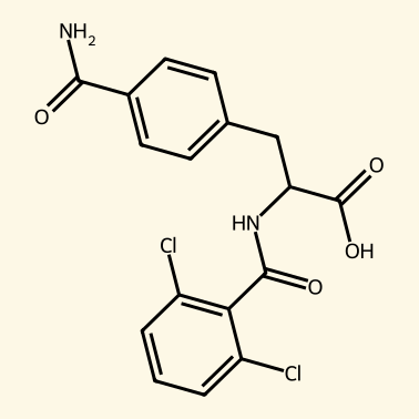 NC(=O)c1ccc(CC(NC(=O)c2c(Cl)cccc2Cl)C(=O)O)cc1